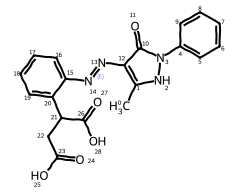 Cc1[nH]n(-c2ccccc2)c(=O)c1/N=N/c1ccccc1C(CC(=O)O)C(=O)O